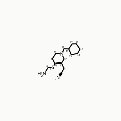 N#CCC1=C(SCN)CCN(CC2CCCCC2)C1